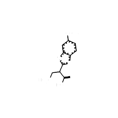 CCOC(=O)c1ccc2oc(C(CC(=O)O)C(O)=S)nc2c1